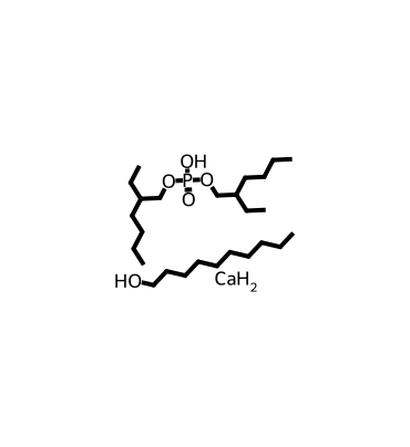 CCCCC(CC)COP(=O)(O)OCC(CC)CCCC.CCCCCCCCCCO.[CaH2]